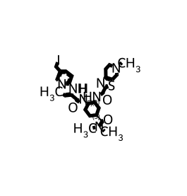 CC=C(Nc1ccc(CI)cn1)C(=O)N[C@H]1CC[C@H](C(=O)N(C)C)C[C@H]1NC(=O)c1nc2c(s1)CN(C)CC2